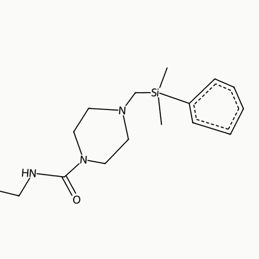 CCNC(=O)N1CCN(C[Si](C)(C)c2ccccc2)CC1